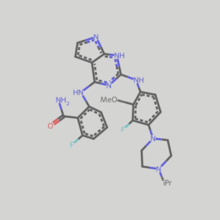 COc1c(Nc2nc(Nc3cccc(F)c3C(N)=O)c3ccnc-3[nH]2)ccc(N2CCN(C(C)C)CC2)c1F